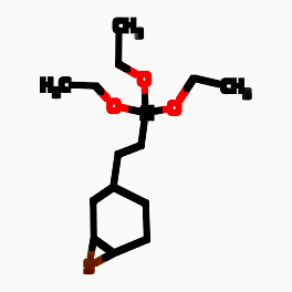 CCO[Si](CCC1CCC2SC2C1)(OCC)OCC